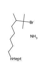 CCCCCCCCCCCCC(C)C(C)(C)Br.N